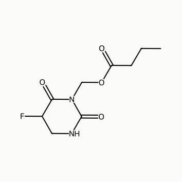 CCCC(=O)OCN1C(=O)NCC(F)C1=O